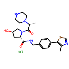 Cc1ncsc1-c1ccc(CNC(=O)[C@@H]2C[C@@H](O)CN2C(=O)[C@@H](C)N2CCNCC2)cc1.Cl